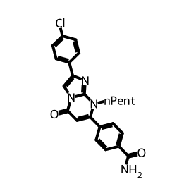 CCCCCn1c(-c2ccc(C(N)=O)cc2)cc(=O)n2cc(-c3ccc(Cl)cc3)nc12